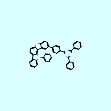 c1ccc(-c2nc(-c3ccccc3)nc(-c3ccc(-c4ccc5oc6ccc7c8ccccc8n(-c8ccccc8)c7c6c5c4)cc3)n2)cc1